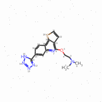 CN(C)CCOc1nc2cc(-c3nnn[nH]3)ccc2c2sccc12